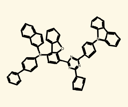 c1ccc(-c2ccc(N(c3ccc4ccccc4c3)c3ccc(-c4nc(-c5ccccc5)nc(-c5ccc(-n6c7ccccc7c7ccccc76)cc5)n4)c4oc5ccccc5c34)cc2)cc1